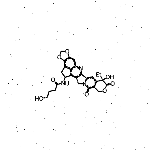 CC[C@@]1(O)C(=O)OCc2c1cc1n(c2=O)Cc2c-1nc1cc3c(c4c1c2C(NC(=O)CCCO)C4)OCO3